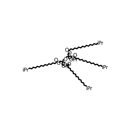 CC(C)CCCCCCCCCCCCCCC(=O)OCC(CO)(COCC(CO)(COC(=O)CCCCCCCCCCCCCCC(C)C)COC(=O)CCCCCCCCCCCCCCC(C)C)COC(=O)CCCCCCCCCCCCCCC(C)C